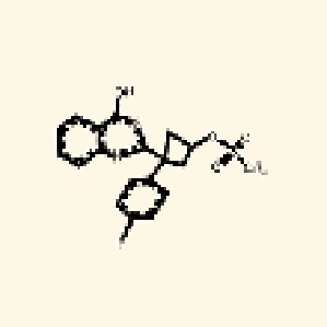 CS(=O)(=O)OC1CC(c2ccc(F)cc2)(c2nc(O)c3ccccc3n2)C1